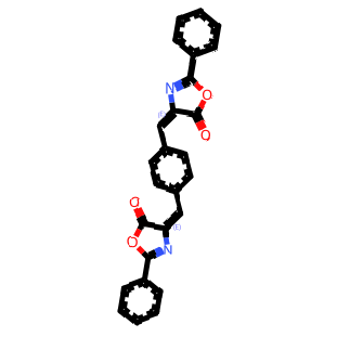 O=C1OC(c2ccccc2)=N/C1=C/c1ccc(/C=C2/N=C(c3ccccc3)OC2=O)cc1